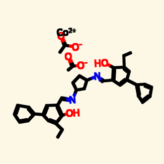 CC(=O)[O-].CC(=O)[O-].CCc1cc(-c2ccccc2)cc(C=NC2CCC(N=Cc3cc(-c4ccccc4)cc(CC)c3O)C2)c1O.[Co+2]